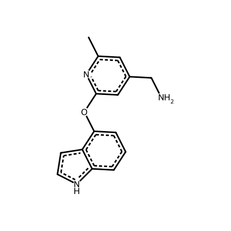 Cc1cc(CN)cc(Oc2cccc3[nH]ccc23)n1